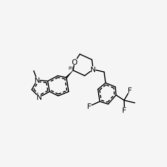 Cn1cnc2ccc([C@@H]3CN(Cc4cc(F)cc(C(C)(F)F)c4)CCO3)cc21